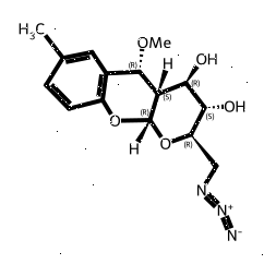 CO[C@H]1c2cc(C)ccc2O[C@H]2O[C@H](CN=[N+]=[N-])[C@@H](O)[C@H](O)[C@H]21